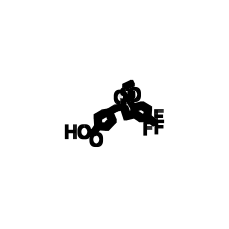 CCS(=O)(=O)n1c(Cc2ccc(C(=O)O)cc2)cc2cc(C(F)(F)F)ccc21